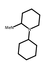 CNC1CCCCN1C1CCCCC1